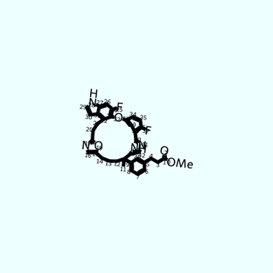 COC(=O)CCc1cccc(C2(C)CCCc3cnc(o3)CCc3c(c(F)cc4[nH]ccc34)Oc3ccc(F)c(c3)-c3ncc2[nH]3)c1